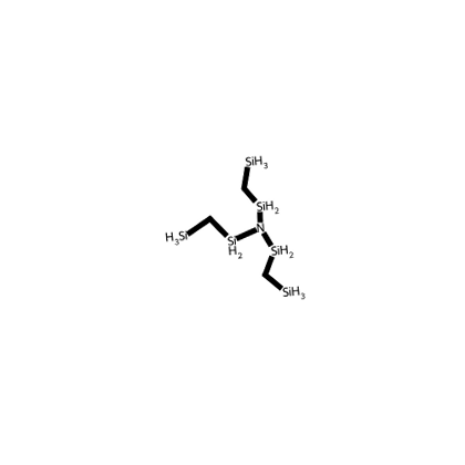 [SiH3]C[SiH2]N([SiH2]C[SiH3])[SiH2]C[SiH3]